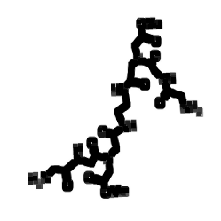 COC(=O)CN(CC(=O)NCCNC(=O)CN(CC(=O)OC)C(=O)CNC(=O)CN)C(=O)CNC(=O)CN